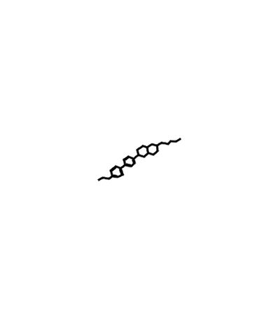 CCCCCC1CCC2CC(c3ccc(-c4ccc(CCC)cc4)cc3)CCC2C1